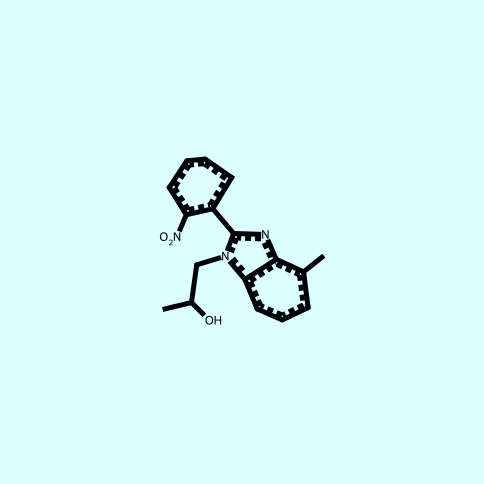 Cc1cccc2c1nc(-c1ccccc1[N+](=O)[O-])n2CC(C)O